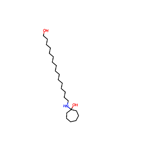 OCCCCCCCCCCCCCCCCNC1(O)CCCCCC1